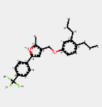 CCCc1ccc(OCc2cc(-c3ccc(C(F)(F)F)cc3)oc2C)cc1CCC